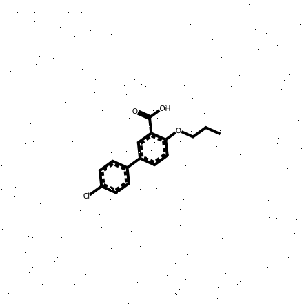 CCCOc1ccc(-c2ccc(Cl)cc2)cc1C(=O)O